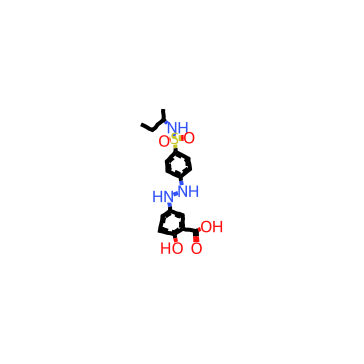 CCC(C)NS(=O)(=O)c1ccc(NNc2ccc(O)c(C(=O)O)c2)cc1